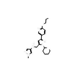 Cn1cc(NCc2cc(-c3ccc(OCCF)nc3)nn2C2CCCCO2)cn1